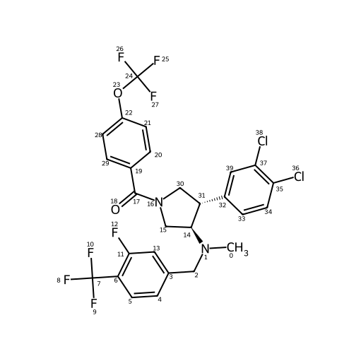 CN(Cc1ccc(C(F)(F)F)c(F)c1)[C@H]1CN(C(=O)c2ccc(OC(F)(F)F)cc2)C[C@@H]1c1ccc(Cl)c(Cl)c1